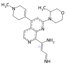 CC1COCCN1c1cc(C2=CCN(C)CC2)c2ccnc(/C(N)=C/C=N)c2n1